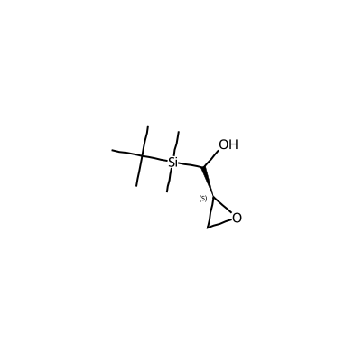 CC(C)(C)[Si](C)(C)C(O)[C@@H]1CO1